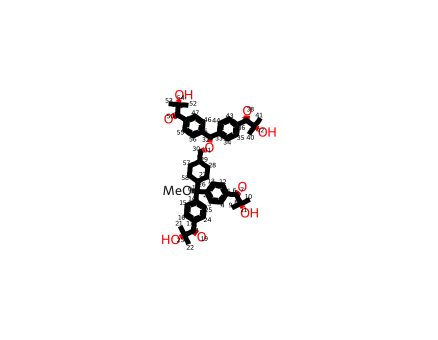 COC(c1ccc(C(=O)C(C)(C)O)cc1)(c1ccc(C(=O)C(C)(C)O)cc1)C1CCC(COC(c2ccc(C(=O)C(C)(C)O)cc2)c2ccc(C(=O)C(C)(C)O)cc2)CC1